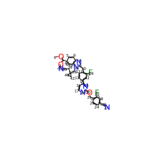 COC(=O)c1ccc2nc(Cc3ccc(-c4ccnc(OCc5ccc(C#N)cc5F)n4)cc3F)n(CC3(CC#N)CC3)c2c1